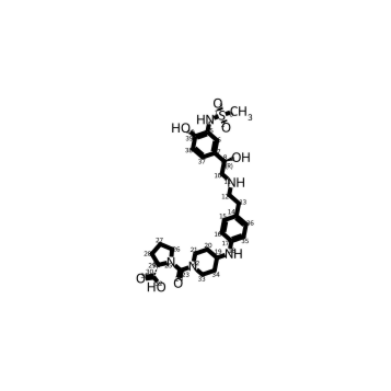 CS(=O)(=O)Nc1cc([C@@H](O)CNCCc2ccc(NC3CCN(C(=O)N4CCC[C@H]4C(=O)O)CC3)cc2)ccc1O